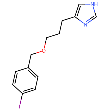 Ic1ccc(COCCCc2c[nH][c]n2)cc1